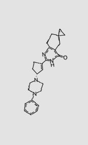 O=c1[nH]c(C2=C[C@H](N3CCN(c4ccccc4)CC3)CC2)nc2c1CC1(CC2)CC1